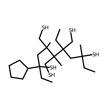 CCC(C)(S)CC(CC)(CS)C(C)(CS)C(C)(CS)CC(S)(CC)C1CCCC1